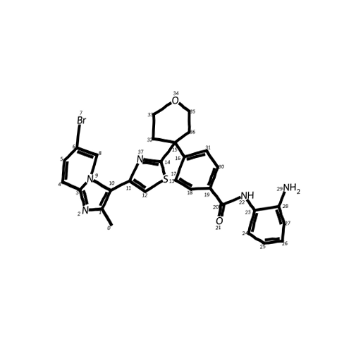 Cc1nc2ccc(Br)cn2c1-c1csc(C2(c3ccc(C(=O)Nc4ccccc4N)cc3)CCOCC2)n1